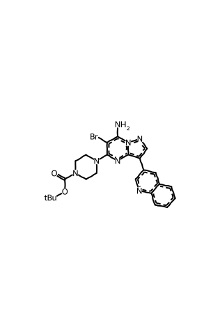 CC(C)(C)OC(=O)N1CCN(c2nc3c(-c4cnc5ccccc5c4)cnn3c(N)c2Br)CC1